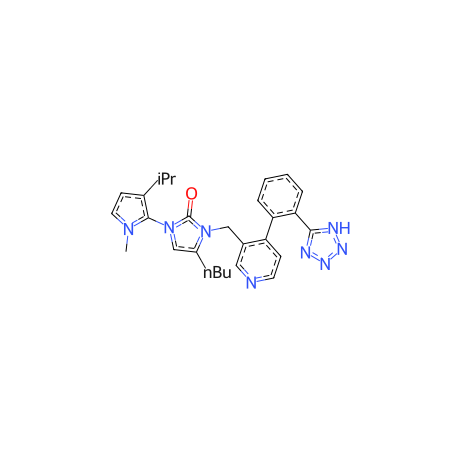 CCCCc1cn(-c2c(C(C)C)ccn2C)c(=O)n1Cc1cnccc1-c1ccccc1-c1nnn[nH]1